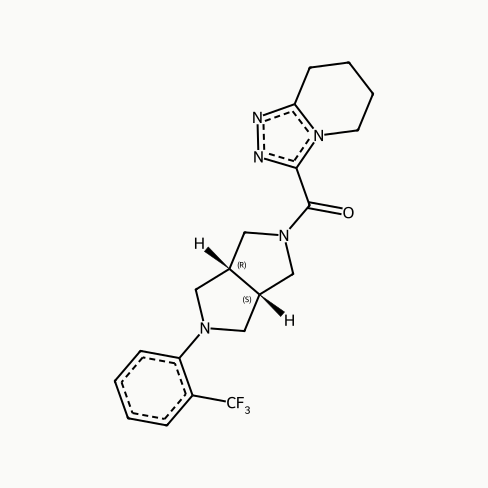 O=C(c1nnc2n1CCCC2)N1C[C@@H]2CN(c3ccccc3C(F)(F)F)C[C@@H]2C1